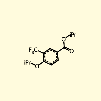 CC(C)OC(=O)c1ccc(OC(C)C)c(C(F)(F)F)c1